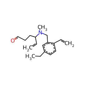 C=Cc1ccc(CC)cc1CN(C)C(C=C)CCC=O